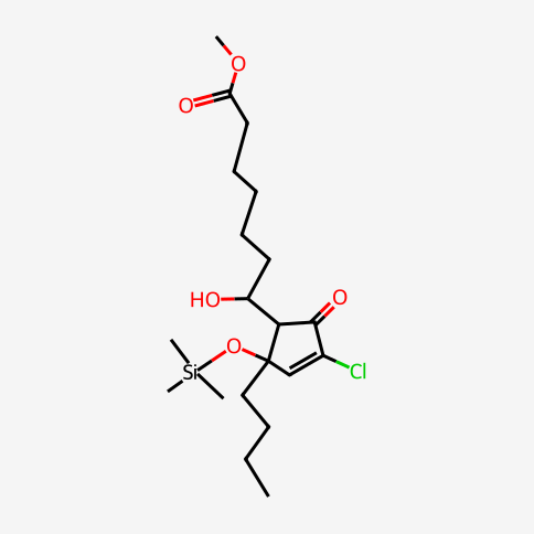 CCCCC1(O[Si](C)(C)C)C=C(Cl)C(=O)C1C(O)CCCCCC(=O)OC